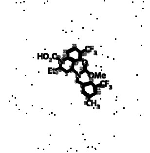 CC[C@@H]1C[C@H](N(Cc2cc(C)cc(C(F)(F)F)c2)C(=O)OC)c2cc(C(F)(F)F)ccc2N1C(=O)O